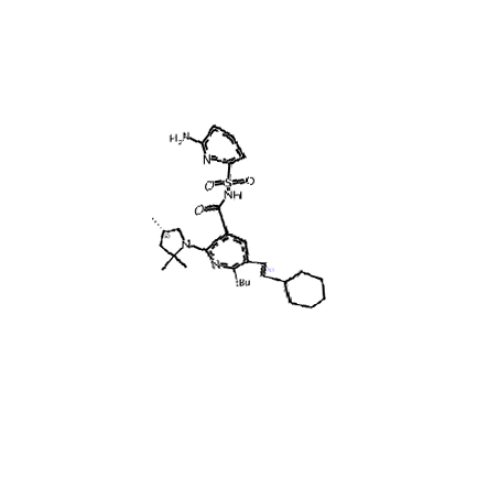 C[C@@H]1CN(c2nc(C(C)(C)C)c(/C=C/C3CCCCC3)cc2C(=O)NS(=O)(=O)c2cccc(N)n2)C(C)(C)C1